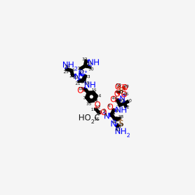 CC1(C)[C@H](NC(=O)/C(=N\OC(COc2ccc(C(=O)Nc3cn(CCCN)[n+](CC4CNC4)c3)cc2)C(=O)O)c2csc(N)n2)C(=O)N1OS(=O)(=O)[O-]